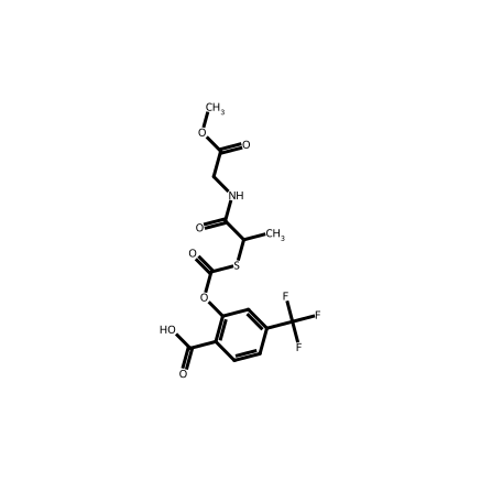 COC(=O)CNC(=O)C(C)SC(=O)Oc1cc(C(F)(F)F)ccc1C(=O)O